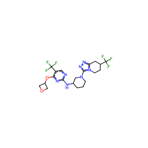 FC(F)(F)c1cnc(NC2CCCN(c3nnc4n3CCC(C(F)(F)F)C4)C2)nc1OC1COC1